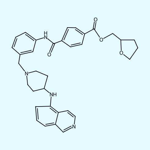 O=C(Nc1cccc(CN2CCC(Nc3cccc4cnccc34)CC2)c1)c1ccc(C(=O)OCC2CCCO2)cc1